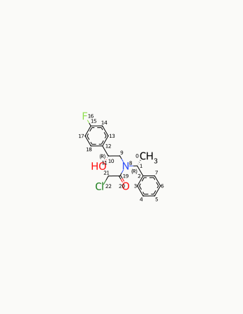 C[C@H](c1ccccc1)N(C[C@H](O)c1ccc(F)cc1)C(=O)CCl